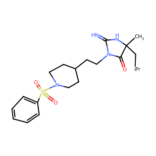 CC(C)CC1(C)NC(=N)N(CCC2CCN(S(=O)(=O)c3ccccc3)CC2)C1=O